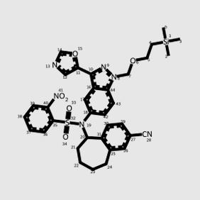 C[Si](C)(C)CCOCn1nc(-c2cnco2)c2cc(N(C3CCCCc4cc(C#N)ccc43)S(=O)(=O)c3ccccc3[N+](=O)[O-])ccc21